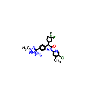 Cc1cc(NC(=O)C(c2ccc(/C(N)=N/N(C)N)cc2)C2CCC(F)(F)C2)ncc1Cl